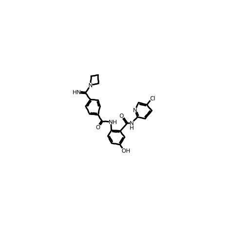 N=C(c1ccc(C(=O)Nc2ccc(O)cc2C(=O)Nc2ccc(Cl)cn2)cc1)N1CCC1